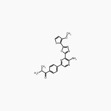 COc1ccsc1-c1nnc(-c2nc(-c3ccc(C(=O)N(C)C)cc3)cnc2N)o1